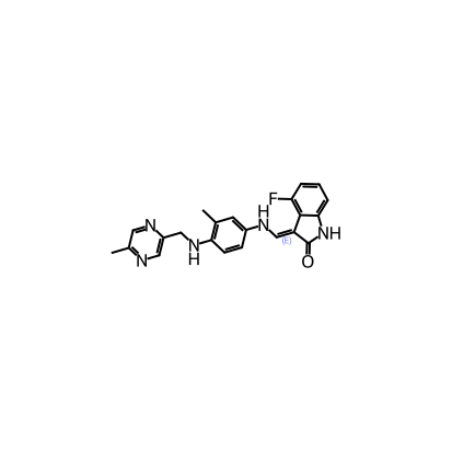 Cc1cnc(CNc2ccc(N/C=C3/C(=O)Nc4cccc(F)c43)cc2C)cn1